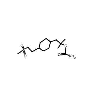 CC(C)(CC1CCC(CCS(C)(=O)=O)CC1)OC(N)=O